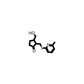 Cc1cccc(SCC2C(=O)CCC2CO)n1